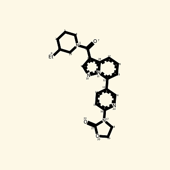 CCC1CCCN(C(=O)c2cnn3c(-c4ccc(N5CCOC5=O)nc4)cccc23)C1